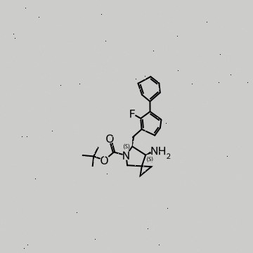 CC(C)(C)OC(=O)N1CC2(CC2)[C@H](N)[C@@H]1Cc1cccc(-c2ccccc2)c1F